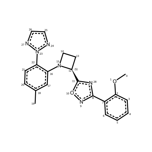 COc1ccccc1-c1noc([C@@H]2CCN2c2cc(C)c[c]c2-n2nccn2)n1